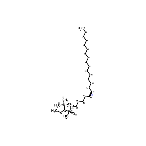 CCCCCCCCCCCCCCC/C=C\CCCCOP(=O)(O)C(CC)[N+](C)(C)C